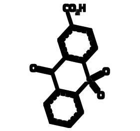 O=C(O)c1ccc2c(c1)C(=O)c1ccccc1S2(=O)=O